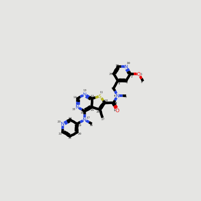 COc1cc(CN(C)C(=O)c2sc3ncnc(N(C)c4cccnc4)c3c2C)ccn1